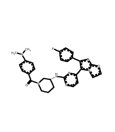 CN(C)c1ccc(C(=O)N2CCC[C@@H](Nc3nccc(-c4c(-c5ccc(F)cc5)nc5occn45)n3)C2)cc1